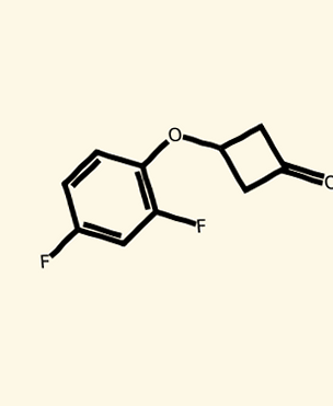 O=C1CC(Oc2ccc(F)cc2F)C1